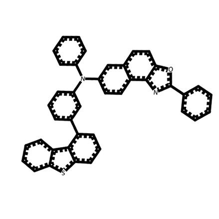 c1ccc(-c2nc3c(ccc4cc(N(c5ccccc5)c5cccc(-c6cccc7sc8ccccc8c67)c5)ccc43)o2)cc1